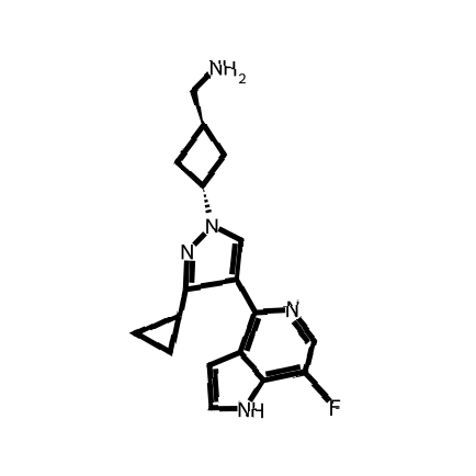 NC[C@H]1C[C@H](n2cc(-c3ncc(F)c4[nH]ccc34)c(C3CC3)n2)C1